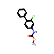 COC(=O)Nc1ccc(-c2ccccc2)c(Cl)c1